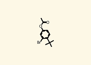 CC(=O)Oc1ccc(C(C)(C)C)c(Br)c1